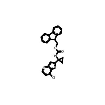 O=C(NC1(c2cc3nccc(Cl)c3s2)CC1)OCC1c2ccccc2-c2ccccc21